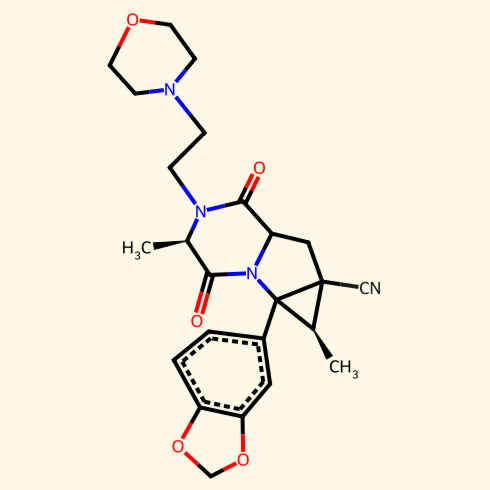 C[C@@H]1C(=O)N2C(CC3(C#N)[C@@H](C)C23c2ccc3c(c2)OCO3)C(=O)N1CCN1CCOCC1